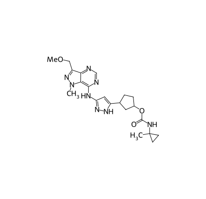 COCc1nn(C)c2c(Nc3cc(C4CCC(OC(=O)NC5(C)CC5)C4)[nH]n3)ncnc12